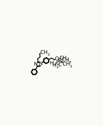 CCCCc1nc(-c2ccccc2)cn1-c1ccc(CCO[Si](C)(C)C(C)(C)C)cc1